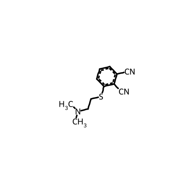 CN(C)CCSc1cccc(C#N)c1C#N